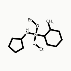 CCO[Si](NC1CCCC1)(OCC)C1CCCCC1C